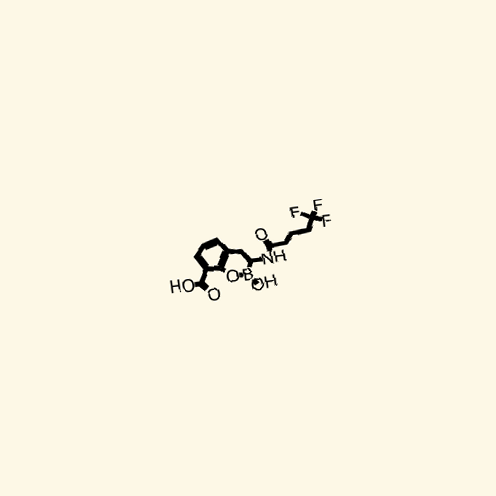 O=C(CCCC(F)(F)F)NC1Cc2cccc(C(=O)O)c2OB1O